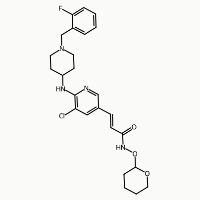 O=C(C=Cc1cnc(NC2CCN(Cc3ccccc3F)CC2)c(Cl)c1)NOC1CCCCO1